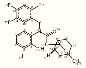 Cc1ccccc1N(Cc1cc(F)c(F)cc1F)C(=O)O[C@H]1C[N+]2(C)CCC1CC2.[I-]